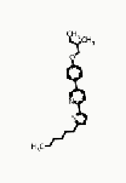 CCCCCCc1ccc(-c2ccc(-c3ccc(OCC(C)CC)cc3)cn2)s1